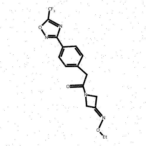 CCON=C1CN(C(=O)Cc2ccc(-c3noc(C(F)(F)F)n3)cc2)C1